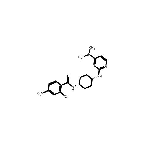 CN(C)c1ccnc(N[C@H]2CC[C@@H](NC(=O)c3ccc([N+](=O)[O-])cc3Cl)CC2)n1